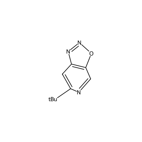 CC(C)(C)c1cc2nnoc2cn1